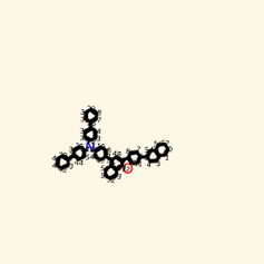 C1=Cc2ccc(-c3ccc4c(c3)oc3c5c(c(C6=CC=C(N(c7ccc(-c8ccccc8)cc7)c7ccc(-c8ccccc8)cc7)CC6)cc34)CCC=C5)cc2CC1